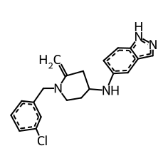 C=C1CC(Nc2ccc3[nH]ncc3c2)CCN1Cc1cccc(Cl)c1